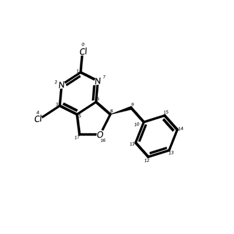 Clc1nc(Cl)c2c(n1)[C@@H](Cc1ccccc1)OC2